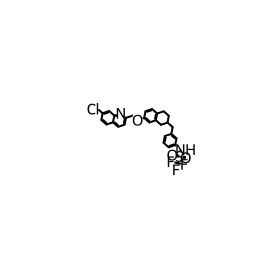 O=S(=O)(Nc1cccc(CC2CCc3ccc(OCc4ccc5ccc(Cl)cc5n4)cc3C2)c1)C(F)(F)F